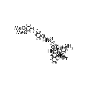 COc1ccc(CCCc2cccc(OCCNC(=O)CCC(CO)OC(=O)N[C@H](CCN(CC(C)C)S(=O)(=O)c3ccc(N)cc3)Cc3ccccc3)c2)cc1OC